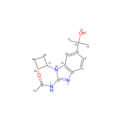 CC(=O)Nc1nc2ccc(C(C)(C)O)cc2n1C1CCC1